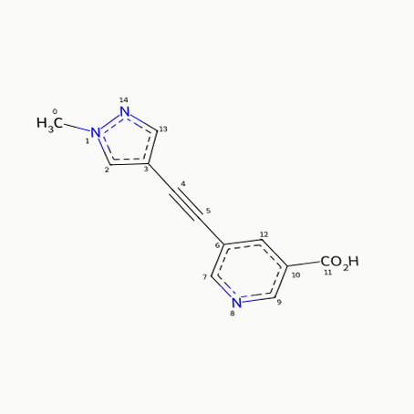 Cn1cc(C#Cc2cncc(C(=O)O)c2)cn1